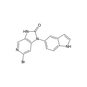 O=c1[nH]c2cnc(Br)cc2n1-c1ccc2[nH]ccc2c1